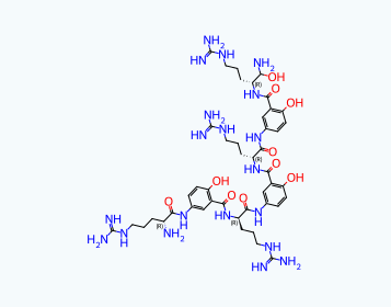 N=C(N)NCCC[C@@H](N)C(=O)Nc1ccc(O)c(C(=O)N[C@H](CCCNC(=N)N)C(=O)Nc2ccc(O)c(C(=O)N[C@H](CCCNC(=N)N)C(=O)Nc3ccc(O)c(C(=O)N[C@H](CCCNC(=N)N)C(N)O)c3)c2)c1